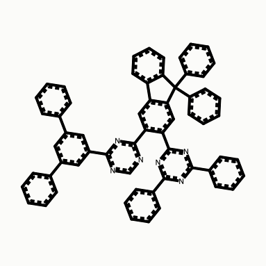 c1ccc(-c2cc(-c3ccccc3)cc(-c3ncnc(-c4cc5c(cc4-c4nc(-c6ccccc6)nc(-c6ccccc6)n4)C(c4ccccc4)(c4ccccc4)c4ccccc4-5)n3)c2)cc1